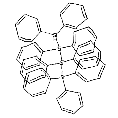 c1ccc([SiH](c2ccccc2)[Si](c2ccccc2)(c2ccccc2)[Si](c2ccccc2)(c2ccccc2)[Si](c2ccccc2)(c2ccccc2)c2ccccc2)cc1